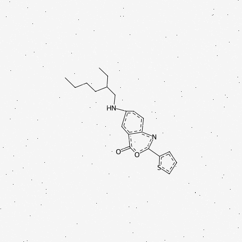 CCCCC(CC)CNc1ccc2nc(-c3cccs3)oc(=O)c2c1